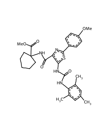 COC(=O)C1(NC(=O)c2nc(-c3ccc(OC)cc3)sc2NC(=O)Nc2c(C)cc(C)cc2C)CCCCC1